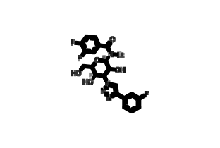 CCN(C(=O)c1ccc(F)c(F)c1)[C@@H]1OC(CO)[C@H](O)C(n2cc(-c3cccc(F)c3)nn2)C1O